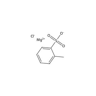 Cc1ccccc1S(=O)(=O)[O-].[Cl-].[Mg+2]